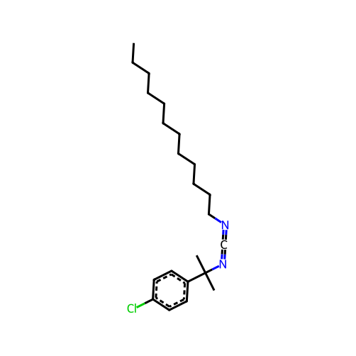 CCCCCCCCCCCCN=C=NC(C)(C)c1ccc(Cl)cc1